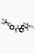 CN(C)C(=O)n1ccc2c(NC(=O)[C@H]3CC[C@H](CNC(=N)N)CC3)ccnc21